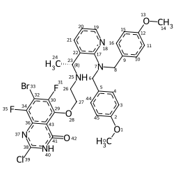 COc1ccc(CN(Cc2ccc(OC)cc2)c2ncccc2[C@@H](C)NCCOc2c(F)c(Br)c(F)c3nc(Cl)[nH]c(=O)c23)cc1